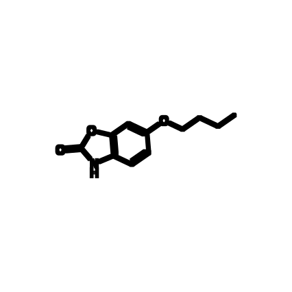 CCCCOc1ccc2[nH]c(=O)oc2c1